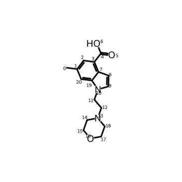 Cc1cc(C(=O)O)c2ccn(CCN3CCOCC3)c2c1